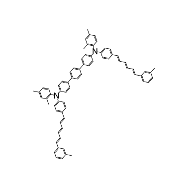 Cc1cccc(C=CC=CC=Cc2ccc(N(c3ccc(-c4ccc(-c5ccc(N(c6ccc(C=CC=CC=Cc7cccc(C)c7)cc6)c6ccc(C)cc6C)cc5)cc4)cc3)c3ccc(C)cc3C)cc2)c1